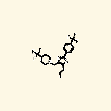 CC[CH]c1sc(-c2ccc(C(F)(F)F)cc2)nc1CN1CCC(C(F)(F)F)CC1